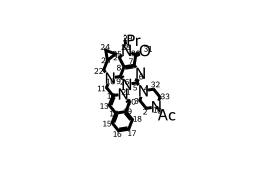 CC(=O)N1CCN(c2nc3c(c(N(Cc4cc5ccccc5cn4)CC4CC4)n2)CN(C(C)C)C3=O)CC1